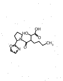 CCCCC(C(=O)N1CCCC1c1ncco1)C(O)C(=O)O